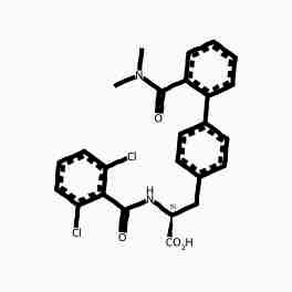 CN(C)C(=O)c1ccccc1-c1ccc(C[C@H](NC(=O)c2c(Cl)cccc2Cl)C(=O)O)cc1